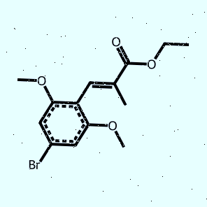 CCOC(=O)C(C)=Cc1c(OC)cc(Br)cc1OC